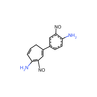 NC1=C(N=O)C=C(c2ccc(N)c(N=O)c2)CC=C1